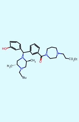 CCOC(=O)CCN1CCCN(C(=O)c2cccc([C@H](c3cccc(O)c3)N3C[C@@H](C)N(CC(C)CC)C[C@@H]3C)c2)CC1